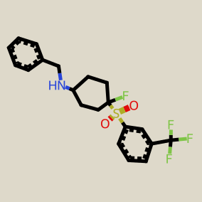 O=S(=O)(c1cccc(C(F)(F)F)c1)C1(F)CCC(NCc2ccccc2)CC1